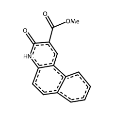 COC(=O)c1cc2c(ccc3ccccc32)[nH]c1=O